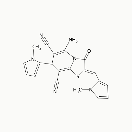 Cn1cccc1C=c1sc2n(c1=O)C(N)=C(C#N)C(c1cccn1C)C=2C#N